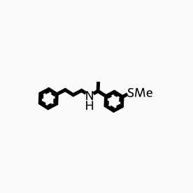 CSc1cccc(C(C)NCCCc2ccccc2)c1